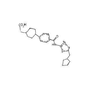 O=C(O)CC1CCC(c2ccc(C(=O)Nc3nnc(CC4CCCC4)s3)cc2)CC1